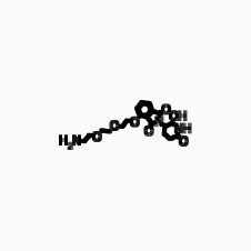 NCCOCCOCCOc1cccc2c1C(=O)N(C1CCC(=O)NC1O)C2=O